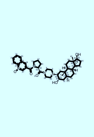 C[C@]12C[C@H](N3CCN(C(=O)[C@@H]4CCCN4C(=O)c4cc5ccccc5[n+]([O-])c4)CC3)[C@@H](O)C[C@@H]1CC[C@@H]1[C@@H]2CC[C@]2(C)[C@@H](O)CC[C@@H]12